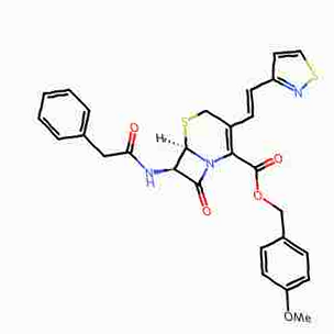 COc1ccc(COC(=O)C2=C(/C=C/c3ccsn3)CS[C@@H]3[C@H](NC(=O)Cc4ccccc4)C(=O)N23)cc1